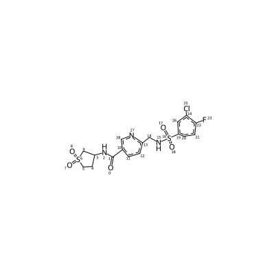 O=C(NC1CCS(=O)(=O)C1)c1ccc(CNS(=O)(=O)c2ccc(F)c(Cl)c2)nc1